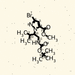 COC(=O)c1cc(Br)nn1C(CNC(=O)OC(C)(C)C)C(C)C